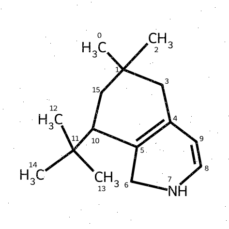 CC1(C)CC2=C(CNC=C2)C(C(C)(C)C)C1